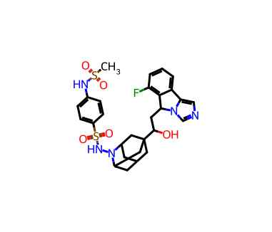 CS(=O)(=O)Nc1ccc(S(=O)(=O)NN2C3CC4CC2CC(C(O)CC2c5c(F)cccc5-c5cncn52)(C4)C3)cc1